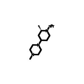 CCCN1CCC(N2CCN(C)CC2)C[C@@H]1C